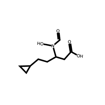 O=CN(O)C(CCC1CC1)CC(=O)O